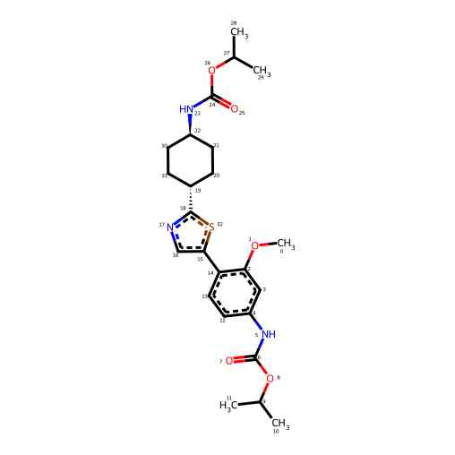 COc1cc(NC(=O)OC(C)C)ccc1-c1cnc([C@H]2CC[C@H](NC(=O)OC(C)C)CC2)s1